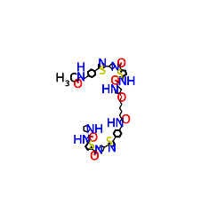 CC(=O)NCc1ccc(-c2cnc(C3CN(C(=O)c4ccc(NC(=O)[C@@H]5C[C@@H](OCCCCCC(=O)NCc6ccc(-c7cnc(C8CN(C(=O)c9ccc(NC(=O)[C@@H]%10CCCN%10)s9)C8)s7)cc6)CN5)s4)C3)s2)cc1